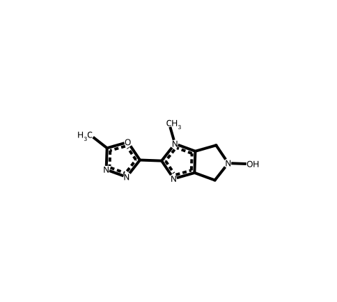 Cc1nnc(-c2nc3c(n2C)CN(O)C3)o1